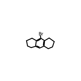 Brc1c2c(cc3c1CCCC3)CCCC2